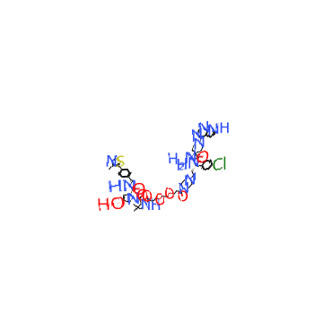 Cc1ncsc1-c1ccc(CNC(=O)[C@@H]2C[C@@H](O)CN2C(=O)[C@@H](NC(=O)CCOCCOCCC(=O)N2CCN(CC[C@H](NC(=O)C3(N)CCN(c4ncnc5[nH]ccc45)CC3)c3ccc(Cl)cc3)CC2)C(C)(C)C)cc1